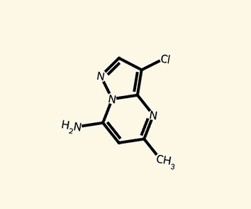 Cc1cc(N)n2ncc(Cl)c2n1